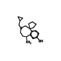 CC1CCN(CC2CC2)CC2(CCCC2)c2ccc(O)cc21